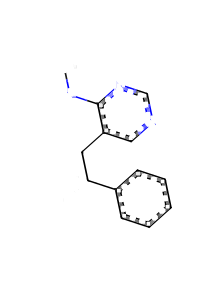 CCCCNc1ncncc1C[C@@H](C)c1ccccc1